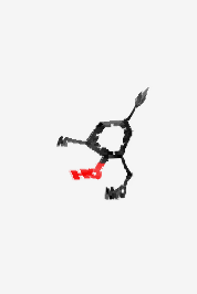 CCC(C)c1cc(COC)c(O)c(C(C)=O)c1